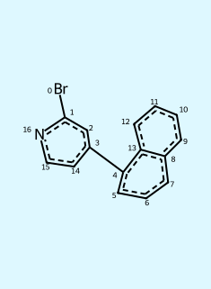 Brc1cc(-c2cccc3ccccc23)ccn1